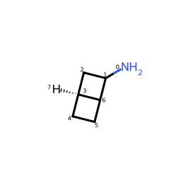 NC1C[C@@H]2CCC12